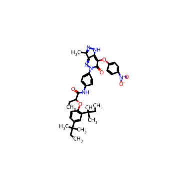 CCC(Oc1ccc(C(C)(C)CC)cc1C(C)(C)CC)C(=O)Nc1ccc(-n2nc3c(C)n[nH]c3c(Oc3ccc([N+](=O)[O-])cc3)c2=O)cc1